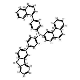 c1ccc2c(-c3ccc(N(c4ccc(-c5ccc6sc7ccccc7c6c5)cc4)c4ccc5ccc6ccccc6c5c4)cc3)cccc2c1